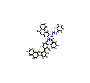 C=N/C(=N\C(=N/Cc1ccccc1)c1ccc2ccc3ccccc3c2c1)c1cccc2oc3c(-c4cccc5c4sc4c6ccccc6ccc54)cccc3c12